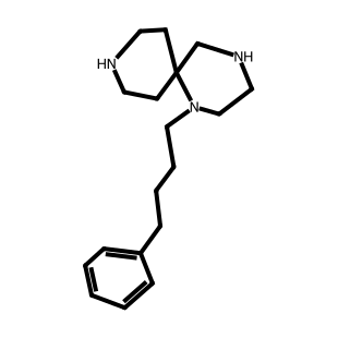 c1ccc(CCCCN2CCNCC23CCNCC3)cc1